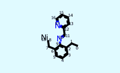 CCc1cccc(CC)c1N=Cc1ccccn1.[Ni]